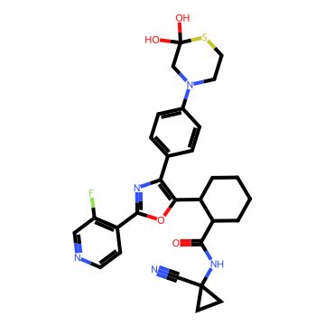 N#CC1(NC(=O)C2CCCCC2c2oc(-c3ccncc3F)nc2-c2ccc(N3CCSC(O)(O)C3)cc2)CC1